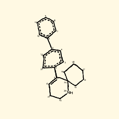 C1=C(c2ccc(-c3ccccc3)cc2)C2(CCCCC2)NCC1